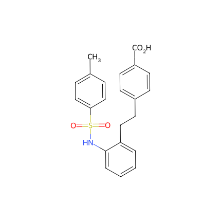 Cc1ccc(S(=O)(=O)Nc2ccccc2CCc2ccc(C(=O)O)cc2)cc1